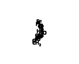 COCCS(=O)(=O)c1ccc(C(=O)NCc2ccc(C(F)(F)F)cc2)s1